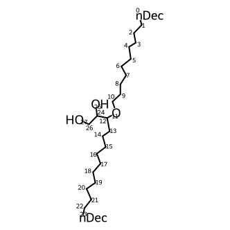 CCCCCCCCCCCCCCCCCCCCOC(CCCCCCCCCCCCCCCCCCCC)C(O)CO